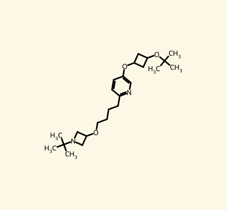 CC(C)(C)OC1CC(Oc2ccc(CCCCOC3CN(C(C)(C)C)C3)nc2)C1